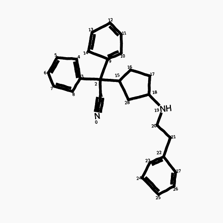 N#CC(c1ccccc1)(c1ccccc1)C1CCC(NCCc2ccccc2)C1